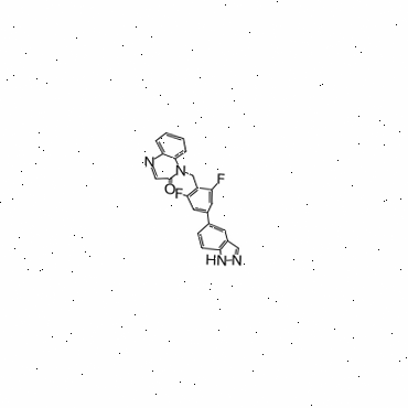 O=c1cnc2ccccc2n1Cc1c(F)cc(-c2ccc3[nH]ncc3c2)cc1F